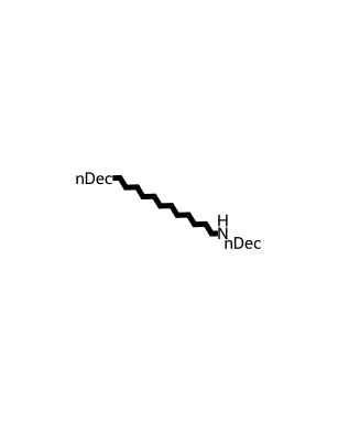 CCCCCCCCCCCCCCCCCCCCCCNCCCCCCCCCC